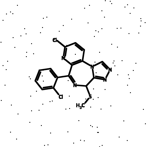 CSC1N=C(c2ccccc2Cl)c2nc(Cl)ccc2-n2cnnc21